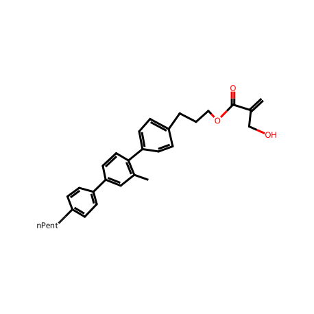 C=C(CO)C(=O)OCCCc1ccc(-c2ccc(-c3ccc(CCCCC)cc3)cc2C)cc1